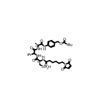 CC(C)C(NC(=O)[C@H](CS(=O)(=O)O)NC(=O)CCCCCN1C(=O)C=CC1=O)C(=O)N[C@@H](C)C(=O)Nc1ccc(COC(=O)C(C)(C)C)cc1